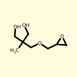 CC(CO)(CO)COCC1CO1